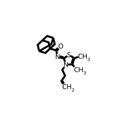 C=CCCn1c(C)c(C)sc1=NC(=O)C12CC3CC(CC(C3)C1)C2